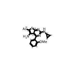 COc1ccccc1-c1nc(NC2CC2)nc2sc(C(C)=O)c(N)c12